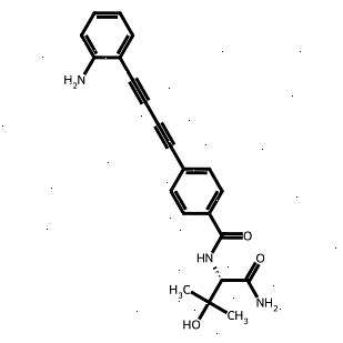 CC(C)(O)[C@H](NC(=O)c1ccc(C#CC#Cc2ccccc2N)cc1)C(N)=O